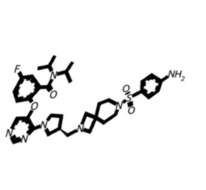 CC(C)N(C(=O)c1cc(F)ccc1Oc1cncnc1N1CC[C@@H](CN2CC3(CCN(S(=O)(=O)c4ccc(N)cc4)CC3)C2)C1)C(C)C